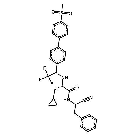 CS(=O)(=O)c1ccc(-c2ccc([C@H](N[C@@H](CC3CC3)C(=O)NC(C#N)Cc3ccccc3)C(F)(F)F)cc2)cc1